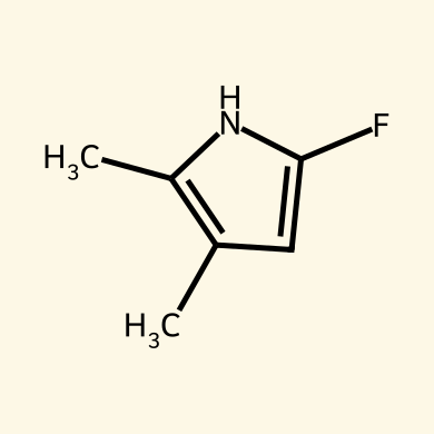 Cc1cc(F)[nH]c1C